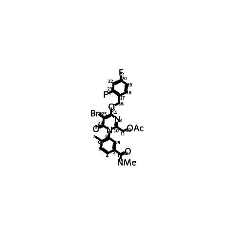 CNC(=O)c1ccc(C)c(-n2c(COC(C)=O)nc(OCc3ccc(F)cc3F)c(Br)c2=O)c1